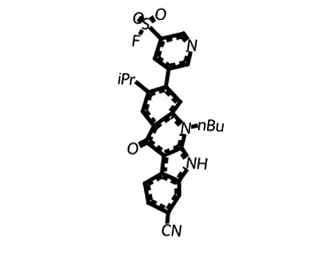 CCCCn1c2cc(-c3cncc(S(=O)(=O)F)c3)c(C(C)C)cc2c(=O)c2c3ccc(C#N)cc3[nH]c21